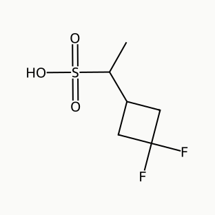 CC(C1CC(F)(F)C1)S(=O)(=O)O